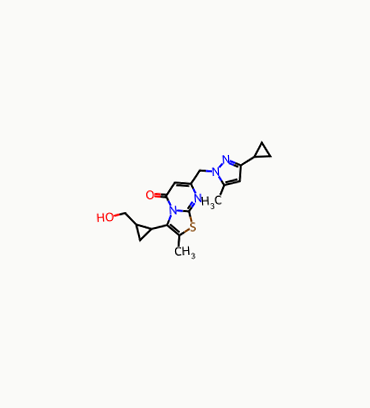 Cc1sc2nc(Cn3nc(C4CC4)cc3C)cc(=O)n2c1C1CC1CO